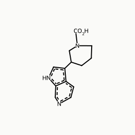 O=C(O)N1CCCC(c2c[nH]c3cnccc23)C1